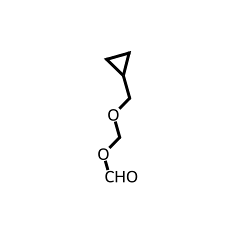 O=COCOCC1CC1